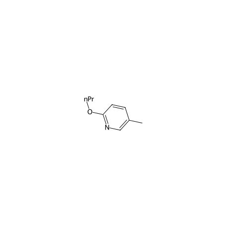 CCCOc1ccc(C)cn1